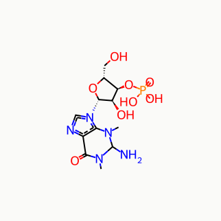 CN1C(=O)c2ncn([C@@H]3O[C@H](CO)[C@@H](OP(=O)(O)O)[C@H]3O)c2N(C)C1N